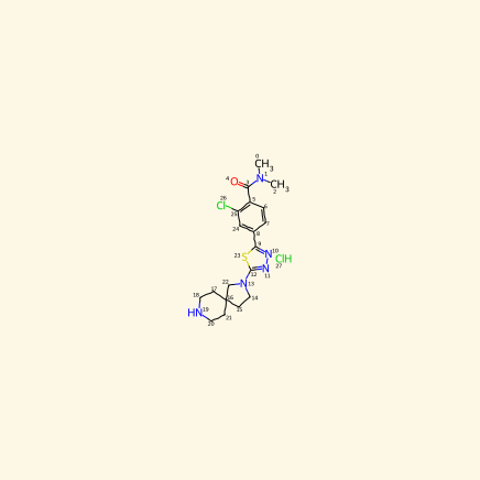 CN(C)C(=O)c1ccc(-c2nnc(N3CCC4(CCNCC4)C3)s2)cc1Cl.Cl